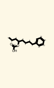 CCCC(CCCCc1ccccc1)OC(=O)O